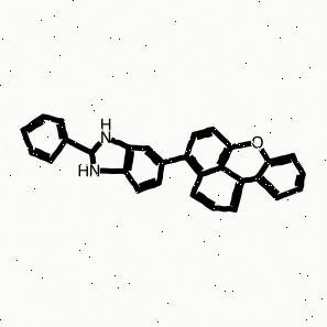 c1ccc(C2Nc3ccc(-c4ccc5c6c(cccc46)-c4ccccc4O5)cc3N2)cc1